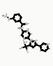 COc1cccc(C(=O)Nc2cnc(-n3nc(-c4cccnc4)cc3C(F)(F)F)cn2)c1